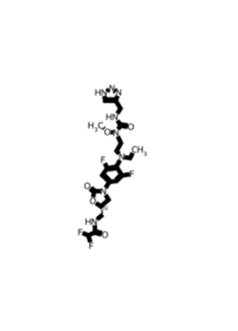 CCN(CCN(OC)C(=O)NCc1c[nH]nn1)c1c(F)cc(N2C[C@H](CNC(=O)C(F)F)OC2=O)cc1F